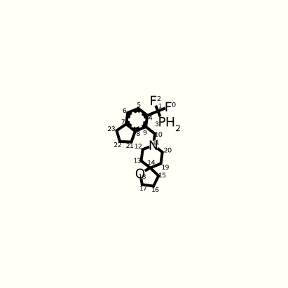 FC(F)(P)c1ccc2c(c1CN1CCC3(CCCO3)CC1)CCC2